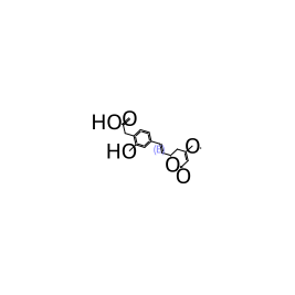 COC1=CC(=O)OC(/C=C/c2ccc(CC(=O)O)c(O)c2)C1